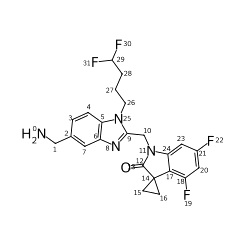 NCc1ccc2c(c1)nc(CN1C(=O)C3(CC3)c3c(F)cc(F)cc31)n2CCCC(F)F